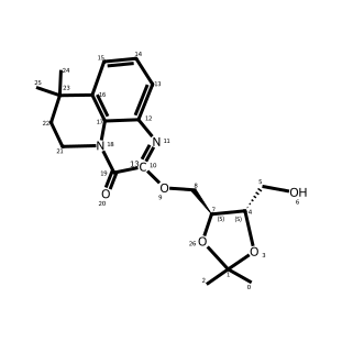 CC1(C)O[C@@H](CO)[C@H](CO[13c]2nc3cccc4c3n(c2=O)CCC4(C)C)O1